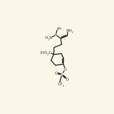 CCOC(=O)C1(CC/C(=C/N)N(N)C(C)C)CC=C(OS(=O)(=O)C(F)(F)F)CC1